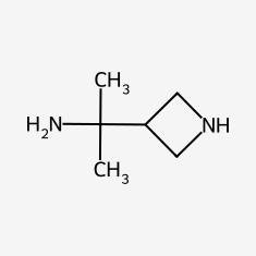 CC(C)(N)C1CNC1